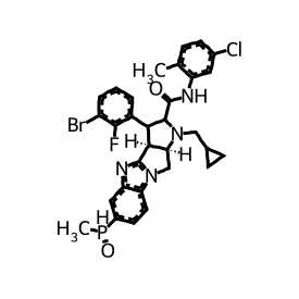 Cc1ccc(Cl)cc1NC(=O)C1C(c2cccc(Br)c2F)[C@@H]2c3nc4cc([PH](C)=O)ccc4n3C[C@@H]2N1CC1CC1